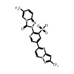 CCS(=O)(=O)c1cc(-c2ccn3nc(C(F)(F)F)cc3n2)cnc1-n1nc2ccc(C(F)(F)F)cn2c1=O